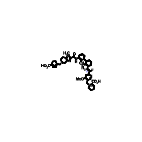 COc1cc(/C(F)=C/c2cccc(-c3cccc(NC(=O)c4nc5c(n4C)CCN(CC46CCC(C(=O)O)(CC4)C6)C5)c3C)c2C)ncc1CN1CCCC[C@H]1C(=O)O